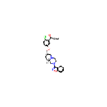 COC(=O)c1cc(OC[C@H]2CC[C@H]3CN(c4noc5ccccc45)CCN3C2)ccc1Cl